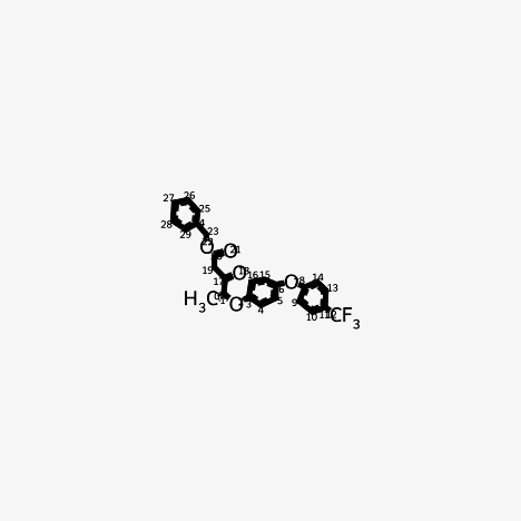 C[C@@H](Oc1ccc(Oc2ccc(C(F)(F)F)cc2)cc1)C(=O)CC(=O)OCc1ccccc1